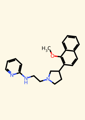 COc1c(C2CCN(CCNc3ccccn3)C2)ccc2ccccc12